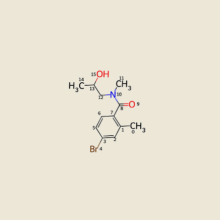 Cc1cc(Br)ccc1C(=O)N(C)CC(C)O